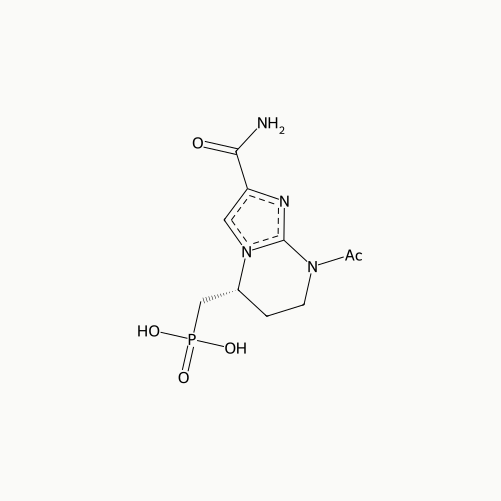 CC(=O)N1CC[C@H](CP(=O)(O)O)n2cc(C(N)=O)nc21